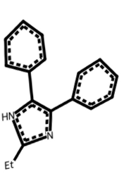 CCc1nc(-c2ccccc2)c(-c2ccccc2)[nH]1